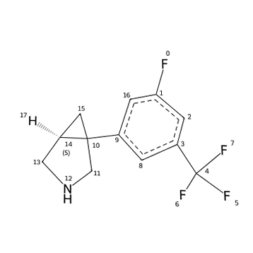 Fc1cc(C(F)(F)F)cc(C23CNC[C@H]2C3)c1